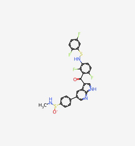 CN[S+]([O-])c1ccc(-c2cnc3[nH]cc(C(=O)c4c(F)ccc(NSc5cc(F)ccc5F)c4F)c3c2)cc1